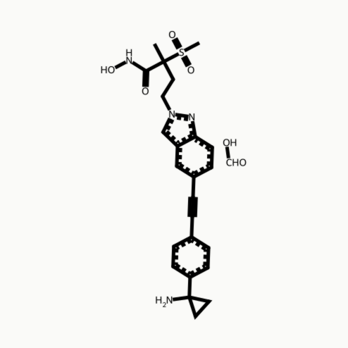 CC(CCn1cc2cc(C#Cc3ccc(C4(N)CC4)cc3)ccc2n1)(C(=O)NO)S(C)(=O)=O.O=CO